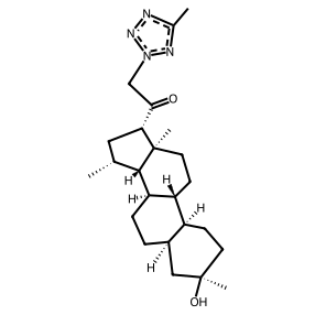 Cc1nnn(CC(=O)[C@H]2C[C@@H](C)[C@H]3[C@@H]4CC[C@@H]5C[C@](C)(O)CC[C@@H]5[C@H]4CC[C@@]32C)n1